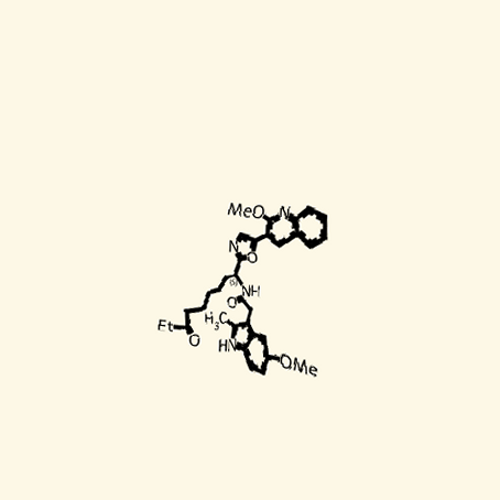 CCC(=O)CCCCC[C@H](NC(=O)Cc1c(C)[nH]c2ccc(OC)cc12)c1ncc(-c2cc3ccccc3nc2OC)o1